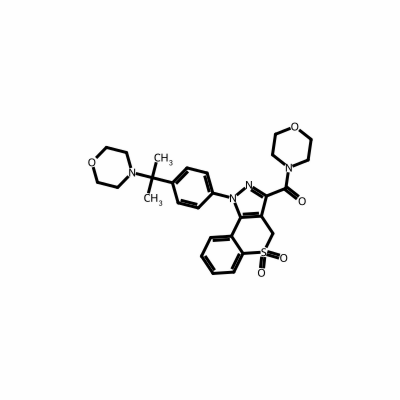 CC(C)(c1ccc(-n2nc(C(=O)N3CCOCC3)c3c2-c2ccccc2S(=O)(=O)C3)cc1)N1CCOCC1